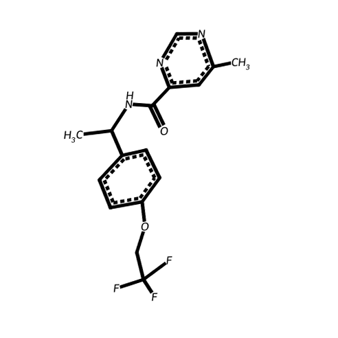 Cc1cc(C(=O)NC(C)c2ccc(OCC(F)(F)F)cc2)ncn1